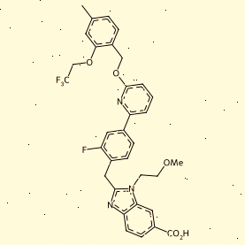 COCCn1c(Cc2ccc(-c3cccc(OCc4ccc(C)cc4OCC(F)(F)F)n3)cc2F)nc2ccc(C(=O)O)cc21